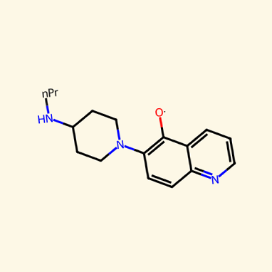 CCCNC1CCN(c2ccc3ncccc3c2[O])CC1